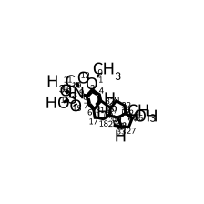 CCOc1cc2c(cc1N(C(C)=O)S(=O)(=O)O)CC[C@@H]1[C@@H]2CC[C@]2(C)[C@H](O)C[C@@H]3C[C@]312